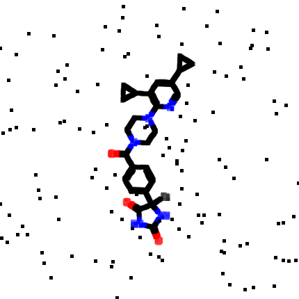 CCC1(c2ccc(C(=O)N3CCN(c4ncc(C5CC5)cc4C4CC4)CC3)cc2)NC(=O)NC1=O